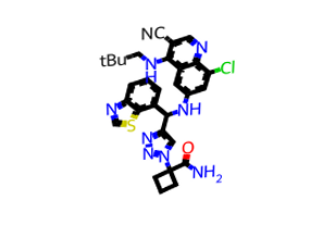 CC(C)(C)CNc1c(C#N)cnc2c(Cl)cc(NC(c3cn(C4(C(N)=O)CCC4)nn3)c3cccc4ncsc34)cc12